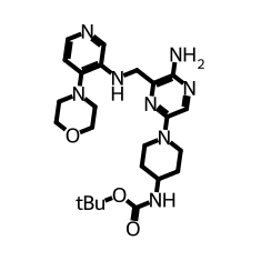 CC(C)(C)OC(=O)NC1CCN(c2cnc(N)c(CNc3cnccc3N3CCOCC3)n2)CC1